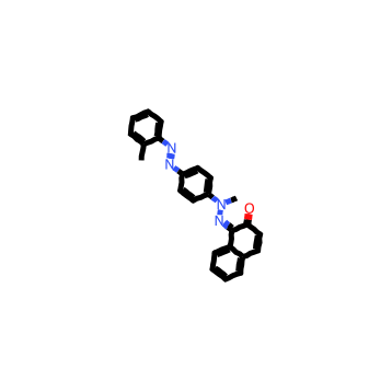 Cc1ccccc1N=Nc1ccc(N(C)N=C2C(=O)C=Cc3ccccc32)cc1